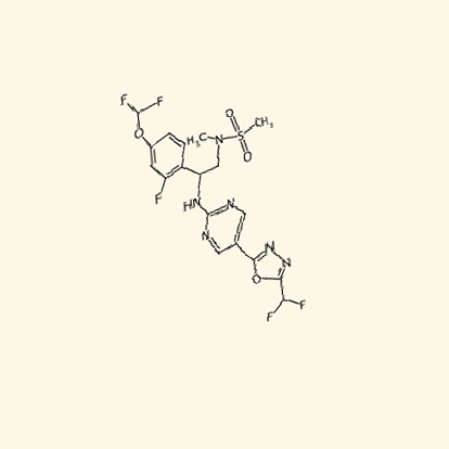 CN(CC(Nc1ncc(-c2nnc(C(F)F)o2)cn1)c1ccc(OC(F)F)cc1F)S(C)(=O)=O